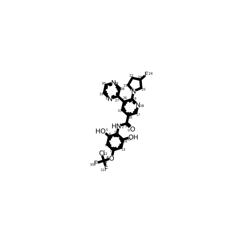 O=C(Nc1c(O)cc(OC(F)(F)Cl)cc1O)c1cnc(N2CCC(F)C2)c(-c2cnccn2)c1